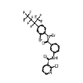 O=C(Nc1cccc(C(=O)N(Br)c2ccc(C(F)(C(F)(F)F)C(F)(F)C(F)(F)F)cc2Br)c1)c1cccnc1Cl